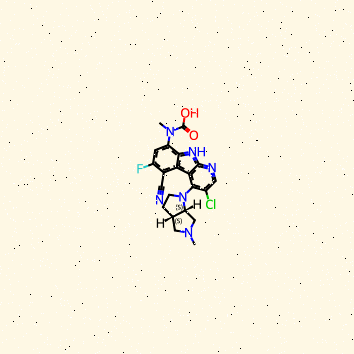 CN1C[C@@H]2CCN(c3c(Cl)cnc4[nH]c5c(N(C)C(=O)O)cc(F)c(C#N)c5c34)[C@@H]2C1